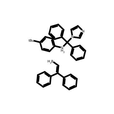 BC=C(c1ccccc1)c1ccccc1.CC(C)(C)c1ccc([SiH2]C(c2ccccc2)(c2ccccc2)n2ccnc2)cc1